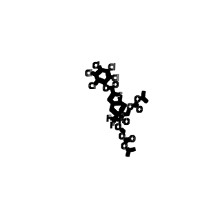 CC(C)OC(=O)OCOP(=O)(OCOC(=O)OC(C)C)C(F)(F)c1ccc2sc(C(=O)Oc3c(Cl)c(Cl)c(Cl)c(Cl)c3Cl)cc2c1